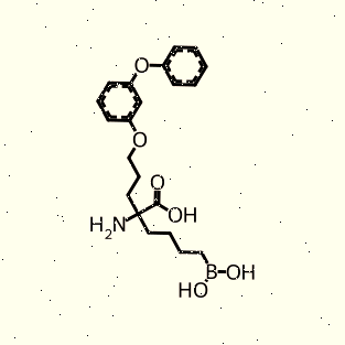 NC(CCCCB(O)O)(CCCOc1cccc(Oc2ccccc2)c1)C(=O)O